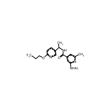 CC(=O)Nc1cc(C(=O)NC(C)c2ccc(OCCC(F)(F)F)nc2)cc(C)n1